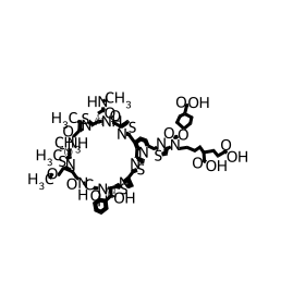 CNC(=O)C[C@@H]1NC(=O)c2csc(n2)-c2ccc(-c3nc(N(CCCCC(CCC(=O)O)C(=O)O)C(=O)OC4CCC(C(=O)O)CC4)cs3)nc2-c2csc(n2)-c2csc(n2)[C@H]([C@@H](O)c2ccccc2)NC(=O)CNC(=O)c2nc(sc2COC)[C@H](C(C)C)NC(=O)c2nc1sc2C